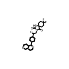 O=C(CN1C(=O)NC2(CCC(F)(F)CC2)C1=O)c1ccc(-c2nccc3cnccc23)cc1